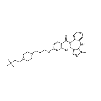 Cn1ncc2c1Nc1ccccc1N(C(=O)c1ccc(OCCCN3CCN(CCC(C)(C)C)CC3)cc1Cl)C2